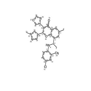 Cc1cc(C(C)Nc2ccc(Cl)nc2C#N)c2oc(-c3cnn(C)c3)c(-c3cocn3)c(=O)c2c1